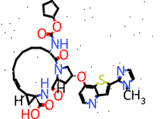 Cn1ccnc1-c1cc2nccc(O[C@@H]3C[C@H]4C(=O)N[C@]5(C(=O)O)C[C@H]5C=CCCCCC[C@H](NC(=O)OC5CCCC5)C(=O)N4C3)c2s1